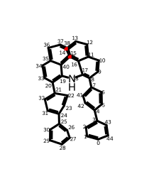 c1ccc(-c2ccc(-c3ccc4ccccc4c3Nc3c(-c4ccc(-c5ccccc5)cc4)ccc4ccccc34)cc2)cc1